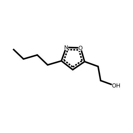 CCCCc1cc(CCO)on1